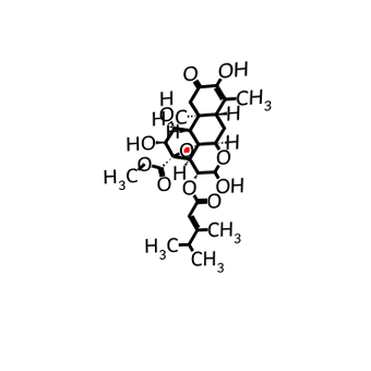 COC(=O)[C@@]12OC[C@]34[C@H]([C@@H](O)[C@@H]1O)[C@@]1(C)CC(=O)C(O)=C(C)[C@@H]1C[C@H]3OC(O)[C@H](OC(=O)/C=C(\C)C(C)C)[C@@H]24